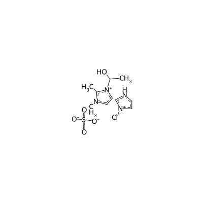 Cc1n(C)cc[n+]1C(C)O.Cl[n+]1cc[nH]c1.O=S(=O)([O-])[O-]